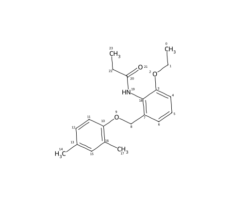 CCOc1cccc(COc2ccc(C)cc2C)c1NC(=O)CC